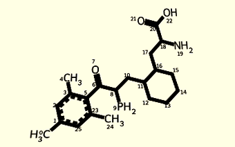 Cc1cc(C)c(C(=O)C(P)CC2CCCCC2CC(N)C(=O)O)c(C)c1